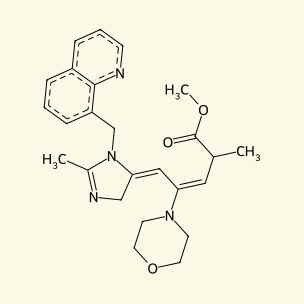 COC(=O)C(C)/C=C(\C=C1/CN=C(C)N1Cc1cccc2cccnc12)N1CCOCC1